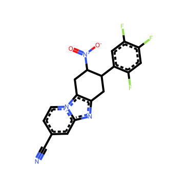 N#Cc1ccn2c3c(nc2c1)CC(c1cc(F)c(F)cc1F)C([N+](=O)[O-])C3